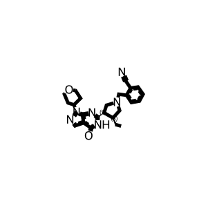 CC[C@@H]1CN(Cc2ccccc2C#N)C[C@H]1c1nc2c(cnn2C2CCOCC2)c(=O)[nH]1